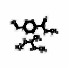 COC(=O)c1ccc(C=O)cc1.COC(C)OC